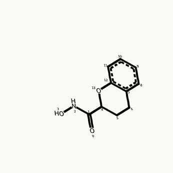 O=C(NO)C1CCc2ccccc2O1